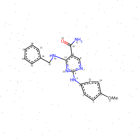 COc1ccc(Nc2ncc(C(N)=O)c(NCc3ccccc3)n2)cc1